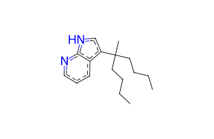 CCCCC(C)(CCCC)c1c[nH]c2ncccc12